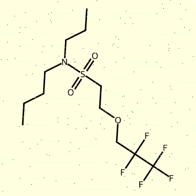 CCCCN(CCC)S(=O)(=O)CCOCC(F)(F)C(F)(F)F